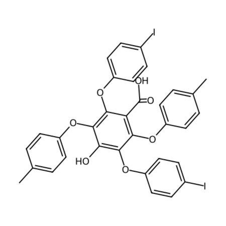 Cc1ccc(Oc2c(O)c(Oc3ccc(I)cc3)c(Oc3ccc(C)cc3)c(C(=O)O)c2Oc2ccc(I)cc2)cc1